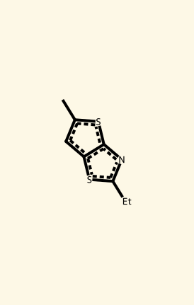 CCc1nc2sc(C)cc2s1